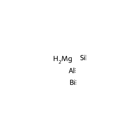 [Al].[Bi].[MgH2].[Si]